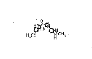 CSc1ccc2[nH]c(C(=O)c3cnn(-c4ccc5[nH]c(C)nc5c4)c3N)cc2c1